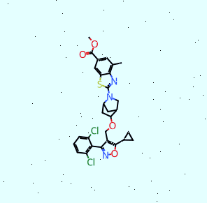 COC(=O)c1cc(C)c2nc(N3CC4CC3CC4OCc3c(-c4c(Cl)cccc4Cl)noc3C3CC3)sc2c1